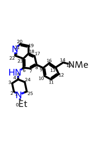 CCN1CCC(Nc2cc(-c3cccc(CNC)c3)cc3ccncc23)CC1